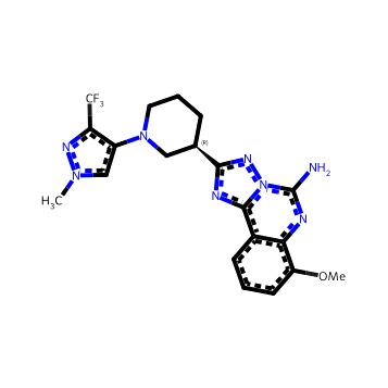 COc1cccc2c1nc(N)n1nc([C@@H]3CCCN(c4cn(C)nc4C(F)(F)F)C3)nc21